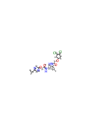 CC1(NC(=O)COc2ccc(Cl)c(Cl)c2)CC(NC(=O)COc2cnc(C3CC3)cn2)C1